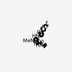 CNc1cc(Nc2cccn(C3CCN(CC(F)F)CC3)c2=O)nc2c(C(=O)NC3CCC3)cnn12